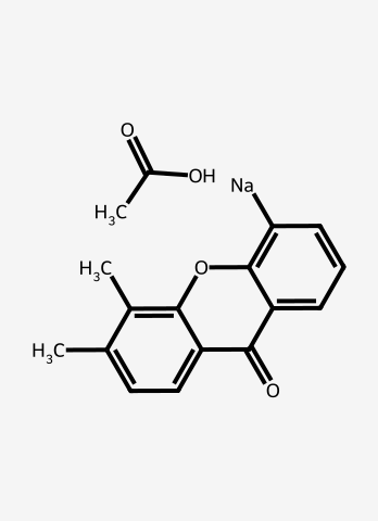 CC(=O)O.Cc1ccc2c(=O)c3ccc[c]([Na])c3oc2c1C